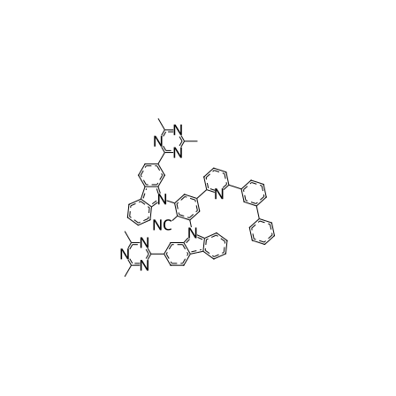 Cc1nc(C)nc(-c2ccc3c4ccccc4n(-c4cc(-c5cccc(-c6cccc(-c7ccccc7)c6)n5)cc(-n5c6ccccc6c6ccc(-c7nc(C)nc(C)n7)cc65)c4C#N)c3c2)n1